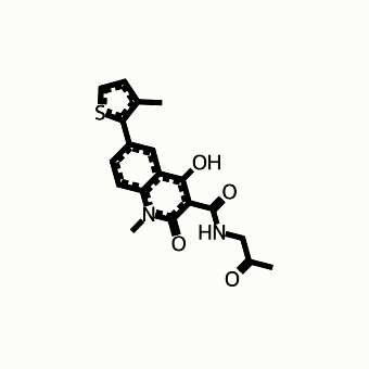 CC(=O)CNC(=O)c1c(O)c2cc(-c3sccc3C)ccc2n(C)c1=O